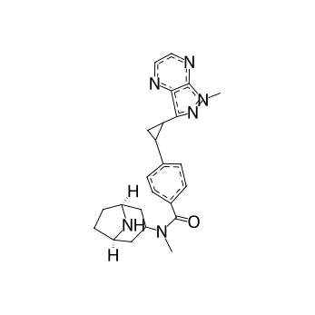 CN(C(=O)c1ccc(C2CC2c2nn(C)c3nccnc23)cc1)C1C[C@H]2CC[C@@H](C1)N2